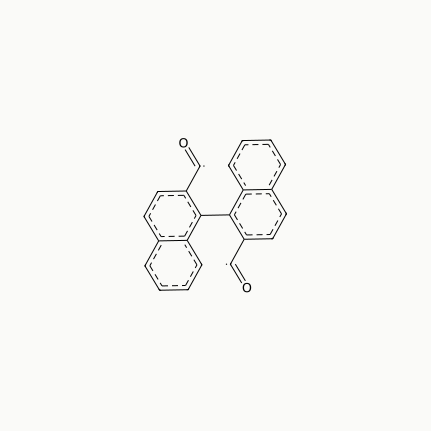 O=[C]c1ccc2ccccc2c1-c1c([C]=O)ccc2ccccc12